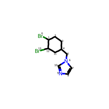 BrC1CCC(Cn2ccnc2)CC1Br